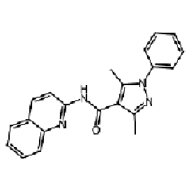 Cc1nn(-c2ccccc2)c(C)c1C(=O)Nc1ccc2ccccc2n1